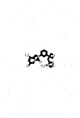 Cn1cnnc1CC1(c2cccc(-n3cc4c(C(F)(F)F)cc(Cl)cn4c3=O)c2)COC1